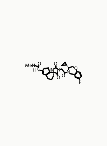 CNC(=O)Nc1ccc2c(c1)CCC[C@@]21NC(=O)N(CC(=O)N2Cc3cc(F)ccc3OC[C@H]2C2CC2)C1=O